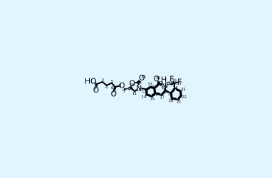 O=C(O)CCCC(=O)OC[C@@H]1CN(c2ccc3cc(-c4ccccc4C(F)(F)F)[nH]c(=O)c3c2)C(=O)O1